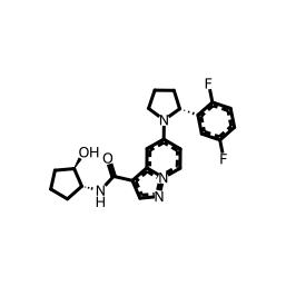 O=C(N[C@@H]1CCC[C@H]1O)c1cnn2ccc(N3CCC[C@@H]3c3cc(F)ccc3F)cc12